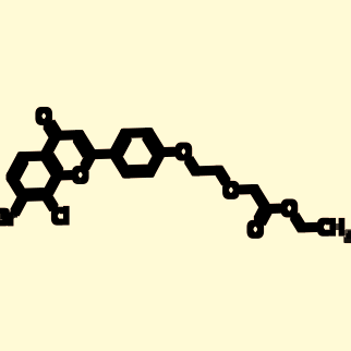 CCOC(=O)COCCOc1ccc(-c2cc(=O)c3ccc(Br)c(Cl)c3o2)cc1